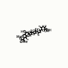 CCC1(C2OC(C3OC(O)(CO)C(C)CC3C)CC2C)CCC(C2(C)CCC3(CC(O)C(C)C(C(C)C(OC)C(C)C(=O)OC)O3)O2)O1